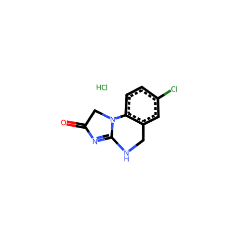 Cl.O=C1CN2C(=N1)NCc1cc(Cl)ccc12